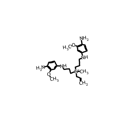 C=CC[N+](C)(CCCNc1ccc(N)c(OC)c1)CCCNc1ccc(N)c(OC)c1